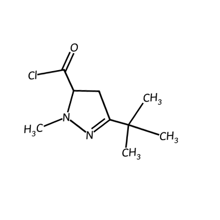 CN1N=C(C(C)(C)C)CC1C(=O)Cl